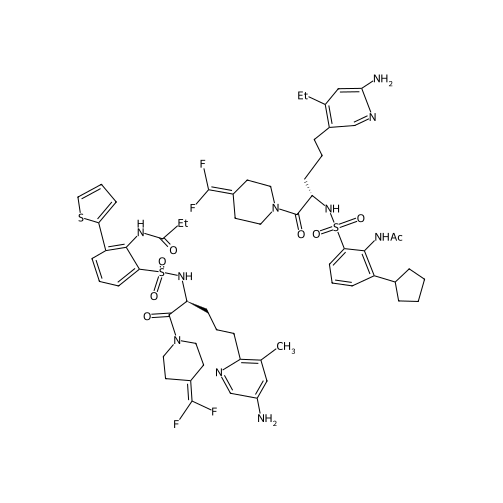 CCC(=O)Nc1c(-c2cccs2)cccc1S(=O)(=O)N[C@@H](CCCc1ncc(N)cc1C)C(=O)N1CCC(=C(F)F)CC1.CCc1cc(N)ncc1CCC[C@H](NS(=O)(=O)c1cccc(C2CCCC2)c1NC(C)=O)C(=O)N1CCC(=C(F)F)CC1